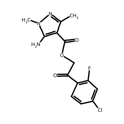 Cc1nn(C)c(N)c1C(=O)OCC(=O)c1ccc(Cl)cc1F